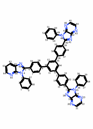 c1ccc(-n2c(-c3ccc(-c4cc(-c5ccc(-c6nc7nccnc7n6-c6ccccc6)cc5)cc(-c5ccc(-c6nc7nccnc7n6-c6ccccc6)cc5)c4)cc3)nc3cccnc32)cc1